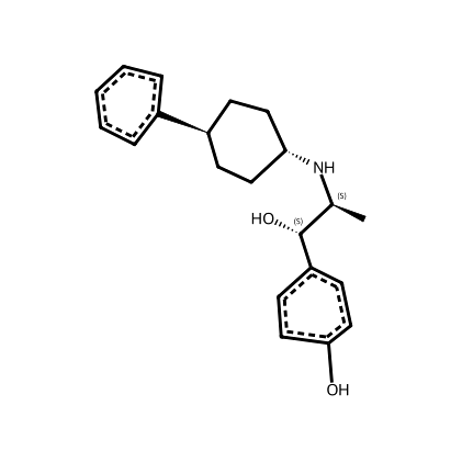 C[C@H](N[C@H]1CC[C@H](c2ccccc2)CC1)[C@@H](O)c1ccc(O)cc1